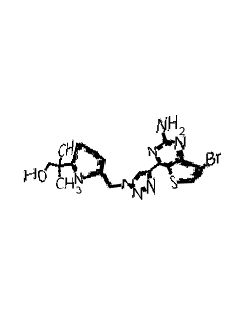 CC(C)(CO)c1cccc(Cn2cc(-c3nc(N)nc4c(Br)csc34)nn2)n1